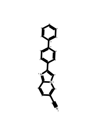 N#Cc1ccc2nc(-c3ccc(-c4ccccc4)cc3)cn2c1